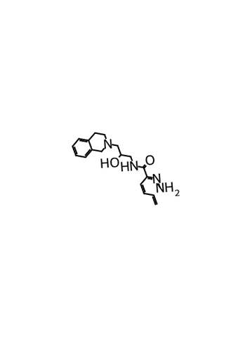 C=C/C=C\C(=N/N)C(=O)NCC(O)CN1CCc2ccccc2C1